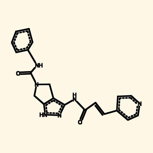 O=C(C=Cc1ccncc1)Nc1n[nH]c2c1CN(C(=O)Nc1ccccc1)C2